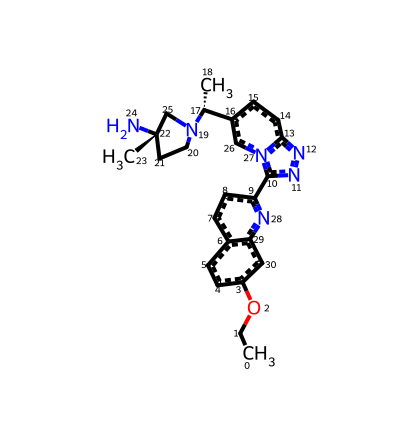 CCOc1ccc2ccc(-c3nnc4ccc([C@@H](C)N5CC[C@](C)(N)C5)cn34)nc2c1